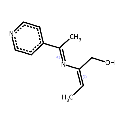 C/C=C(CO)\N=C(/C)c1ccncc1